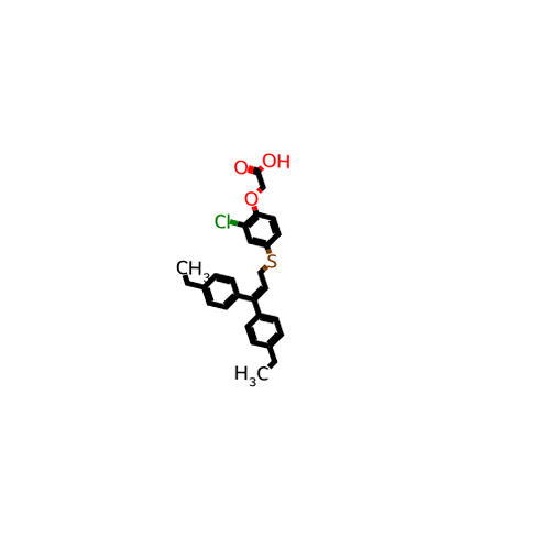 CCc1ccc(C(=CCSc2ccc(OCC(=O)O)c(Cl)c2)c2ccc(CC)cc2)cc1